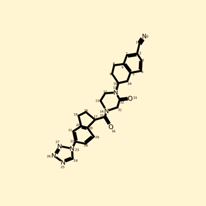 N#Cc1ccc2c(c1)CCC(N1CCN(C(=O)C3CCc4cc(-n5cnnn5)ccc43)CC1=O)C2